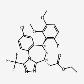 CCOC(=O)C[C@H]1S[C@H](c2c(F)ccc(OC)c2OC)c2cc(Cl)ccc2-n2c1nnc2C(F)(F)F